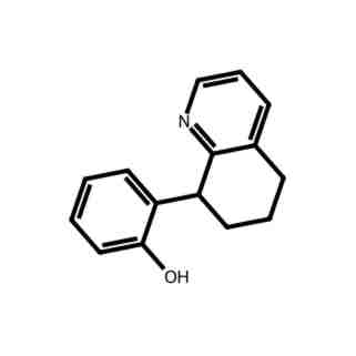 Oc1ccccc1C1CCCc2cccnc21